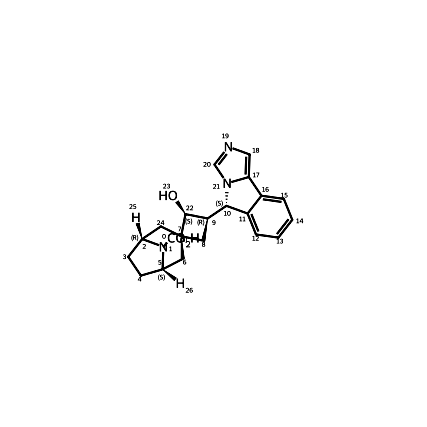 O=C(O)N1[C@@H]2CC[C@H]1C[C@@]1(C[C@H]([C@H]3c4ccccc4-c4cncn43)[C@@H]1O)C2